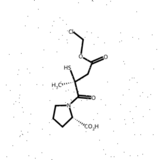 C[C@](S)(CC(=O)OCCl)C(=O)N1CCC[C@H]1C(=O)O